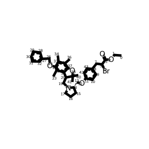 CCOC(=O)C(Br)Cc1ccc(OC[C@@H]2CCCN2CC2c3c(C)c(OCc4ccccc4)c(C)c(C)c3OC2(C)C)cc1